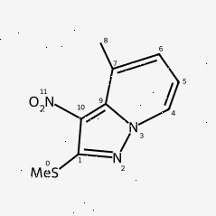 CSc1nn2cccc(C)c2c1[N+](=O)[O-]